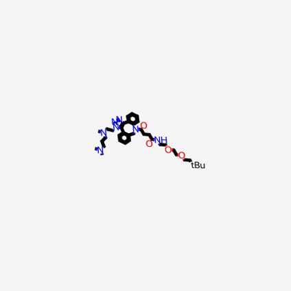 CN(C)CCCN(C)CCn1nnc2c1-c1ccccc1CN(C(=O)CCC(=O)NCCOCCOCCC(C)(C)C)c1ccccc1-2